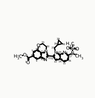 COC(=O)c1cc2c3c(c1)nc(-c1cc4ccc(N(C)S(C)(=O)=O)nc4n1CC1CC1)n3CCO2